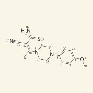 COc1ccc(N2CCN(/C(C)=C(/C#N)C(N)=S)CC2)cc1